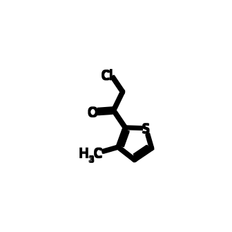 Cc1ccsc1C(=O)CCl